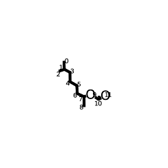 CC(C)CCCCC(C)O[C]=O